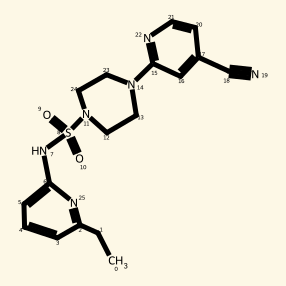 CCc1cccc(NS(=O)(=O)N2CCN(c3cc(C#N)ccn3)CC2)n1